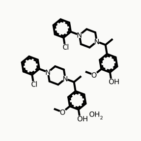 COc1cc(C(C)N2CCN(c3ccccc3Cl)CC2)ccc1O.COc1cc(C(C)N2CCN(c3ccccc3Cl)CC2)ccc1O.O